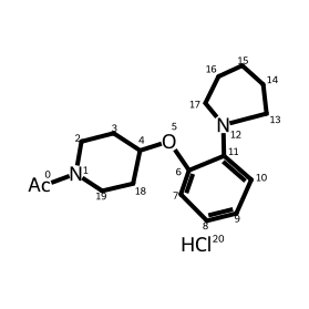 CC(=O)N1CCC(Oc2ccccc2N2CCCCC2)CC1.Cl